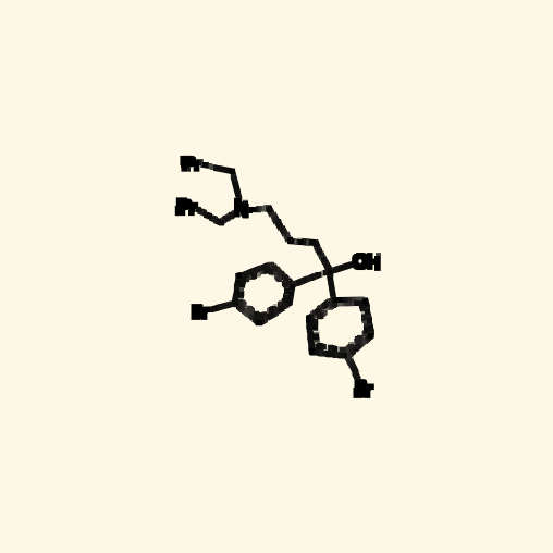 CC(C)CN(CCCC(O)(c1ccc(Br)cc1)c1ccc(Br)cc1)CC(C)C